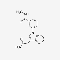 CNC(=O)c1cccc(-n2cc(CC(N)=O)c3ccccc32)c1